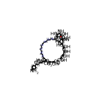 C[C@H]1/C=C/C=C/C=C\C=C/C=C/C=C/C=C/[C@H](O[C@@H]2O[C@H](C)[C@@H](O)[C@H](N)[C@@H]2O)C[C@@H]2O[C@](O)(C[C@@H](O)C[C@@H](O)C[C@@H](O)C[C@@H](O)CC(=O)C[C@@H](O)CC(=O)O[C@@H]1[C@@H](C)CCC(O)CC(=O)c1ccc(N)cc1)C[C@H](O)[C@H]2C(=O)O